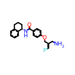 NC/C(=C/F)COc1ccc(C(=O)N[C@H]2CCCc3ccccc32)cc1